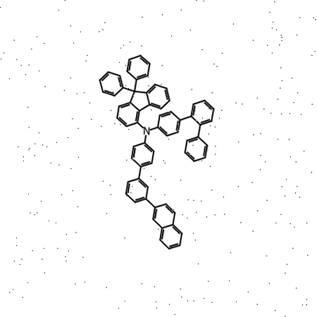 c1ccc(-c2ccccc2-c2ccc(N(c3ccc(-c4cccc(-c5ccc6ccccc6c5)c4)cc3)c3cccc4c3-c3ccccc3C4(c3ccccc3)c3ccccc3)cc2)cc1